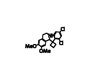 COc1cc2c(cc1OC)C(C1(c3ccc(Cl)cc3Cl)CCC1)NCC2